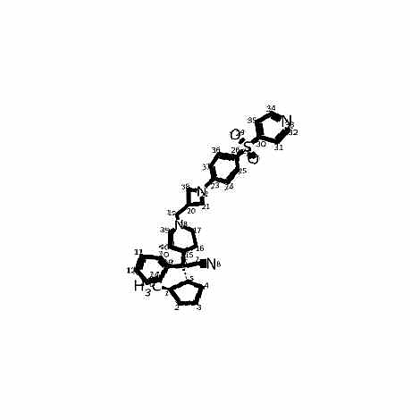 C[C@@H]1CCC[C@H]1C(C#N)(c1ccccc1)C1CCN(CC2CN(c3ccc(S(=O)(=O)c4ccncc4)cc3)C2)CC1